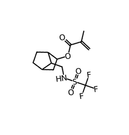 C=C(C)C(=O)OC1CC2CCC1C2CNS(=O)(=O)C(F)(F)F